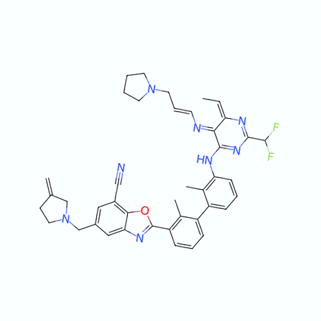 C=C1CCN(Cc2cc(C#N)c3oc(-c4cccc(-c5cccc(NC6=NC(C(F)F)=NC(=C/C)/C6=N\C=C\CN6CCCC6)c5C)c4C)nc3c2)C1